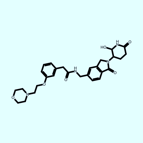 O=C(Cc1cccc(OCCN2CCOCC2)c1)NCc1ccc2c(c1)CN(C1CCC(=O)NC1O)C2=O